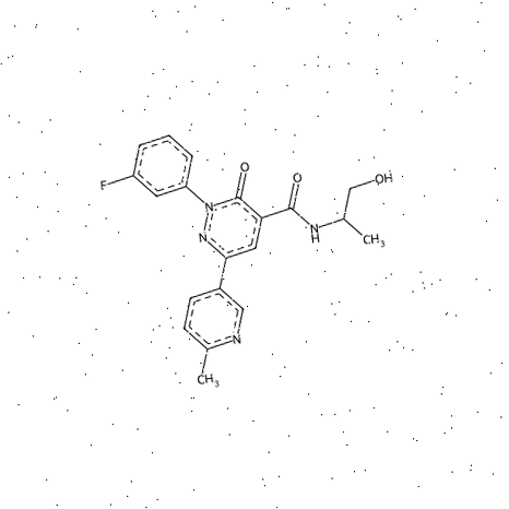 Cc1ccc(-c2cc(C(=O)NC(C)CO)c(=O)n(-c3cccc(F)c3)n2)cn1